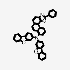 c1ccc(-c2nc3ccc4ccc5c(N(c6ccc7c(c6)oc6ccccc67)c6ccc7c(c6)oc6ccccc67)cccc5c4c3o2)cc1